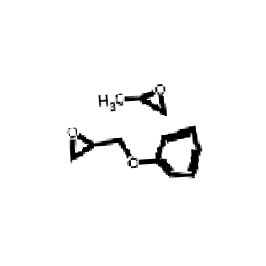 CC1CO1.c1ccc(OCC2CO2)cc1